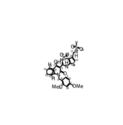 COc1ccc(CN2C(=O)C(C3=NS(=O)(=O)c4c(CNS(C)(=O)=O)csc4N3)=C(O)C3C2[C@@H]2CC[C@H]3C2)c(OC)c1